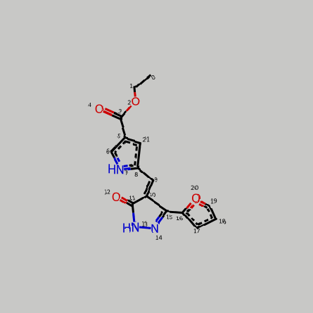 CCOC(=O)c1c[nH]c(C=C2C(=O)NN=C2c2ccco2)c1